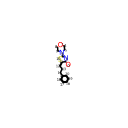 O=C1N=C(N2CCOCC2)S/C1=C/CCc1ccccc1